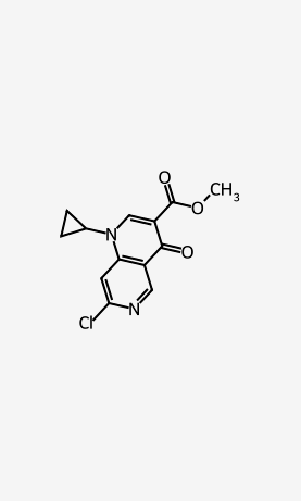 COC(=O)c1cn(C2CC2)c2cc(Cl)ncc2c1=O